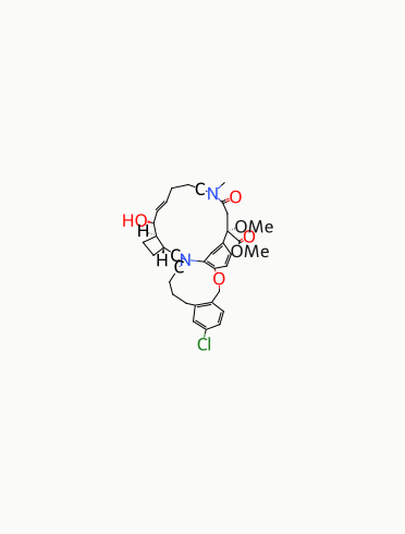 COC(=O)[C@]1(OC)CC(=O)N(C)CCC/C=C/[C@H](O)[C@@H]2CC[C@H]2CN2CCCCc3cc(Cl)ccc3COc3ccc1cc32